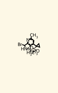 Cc1cc(C2(S(C)(=O)=O)CC2)c2c(n1)C(Br)NN2C